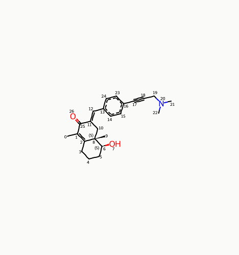 CC1=C2CCC[C@H](O)[C@@]2(C)CC(=Cc2ccc(C#CCN(C)C)cc2)C1=O